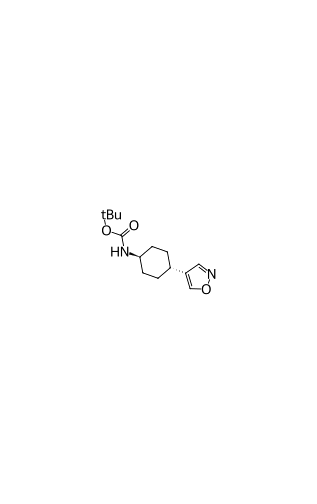 CC(C)(C)OC(=O)N[C@H]1CC[C@H](c2cnoc2)CC1